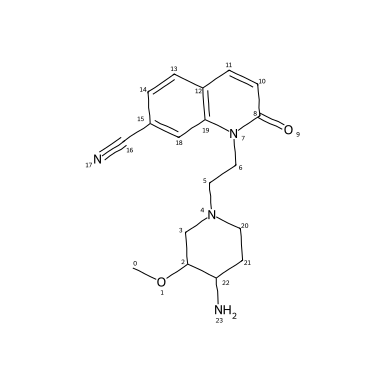 COC1CN(CCn2c(=O)ccc3ccc(C#N)cc32)CCC1N